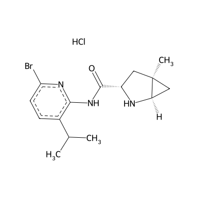 CC(C)c1ccc(Br)nc1NC(=O)[C@@H]1C[C@@]2(C)C[C@H]2N1.Cl